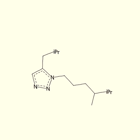 CC(C)Cc1cnnn1CCCC(C)C(C)C